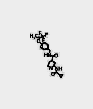 C[C@@H](Oc1ccc(CNC(=O)c2ccnc(NC(=O)C3CC3)c2)cn1)C(F)(F)F